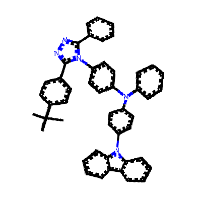 CC(C)(C)c1ccc(-c2nnc(-c3ccccc3)n2-c2ccc(N(c3ccccc3)c3ccc(-n4c5ccccc5c5ccccc54)cc3)cc2)cc1